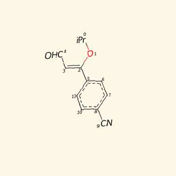 CC(C)O/C(=C\C=O)c1ccc(C#N)cc1